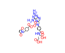 Nc1nc(N)c2nc(CN(C(=O)OCOC(=O)C3CCC(CN4C(=O)C=CC4=O)CC3)c3ccc(C(=O)N[C@@H](CCC(=O)O)C(=O)O)cc3)cnc2n1